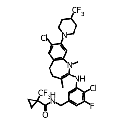 CC1=C(Nc2cc(CNC(=O)C3(C(F)(F)F)CC3)cc(F)c2Cl)N(C)c2cc(N3CCC(C(F)(F)F)CC3)c(Cl)cc2CC1